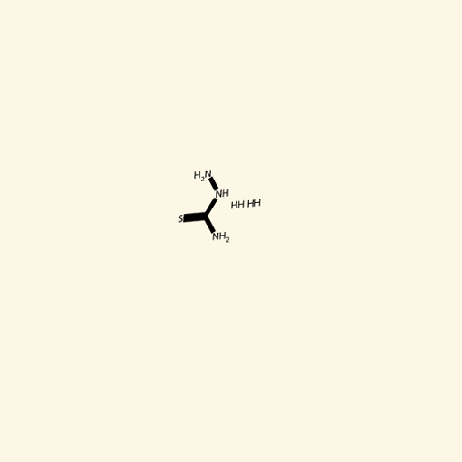 NNC(N)=S.[HH].[HH]